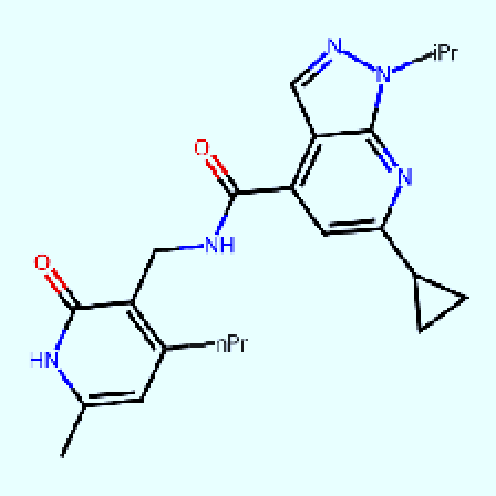 CCCc1cc(C)[nH]c(=O)c1CNC(=O)c1cc(C2CC2)nc2c1cnn2C(C)C